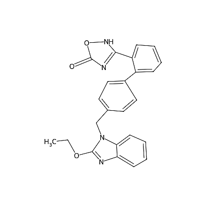 CCOc1nc2ccccc2n1Cc1ccc(-c2ccccc2-c2nc(=O)o[nH]2)cc1